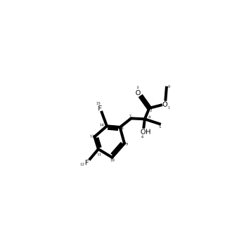 COC(=O)C(C)(O)Cc1ccc(F)cc1F